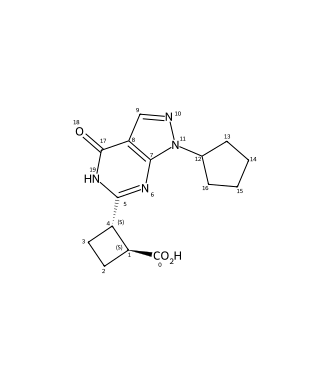 O=C(O)[C@H]1CC[C@@H]1c1nc2c(cnn2C2CCCC2)c(=O)[nH]1